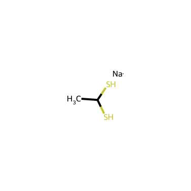 CC(S)S.[Na]